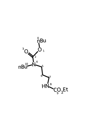 CCCCOC(=O)N(CC[CH]NC(=O)OCC)CCCC